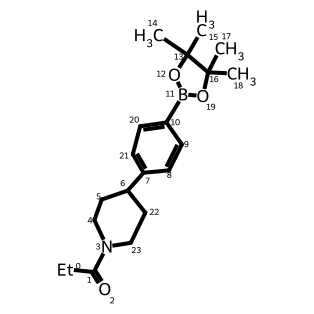 CCC(=O)N1CCC(c2ccc(B3OC(C)(C)C(C)(C)O3)cc2)CC1